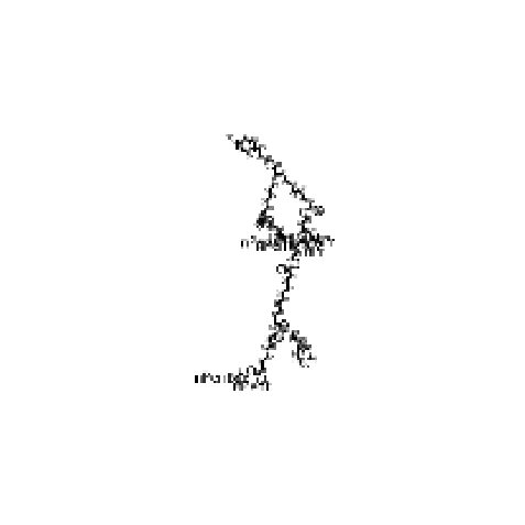 CCCCCC(CCCCC)CCOC(=O)CCCCCCCCC(CCCCCCCCC(=O)OCCC(CCCCC)CC(CCC)C(CCC)CC(CCCCC)CCOC(=O)CCCCCCCC(CCCCCCCC(=O)OCCC(CCCCC)CCCCC)COCCCN1CCN(C)CC1)OC(=O)CCCN1CCOCC1